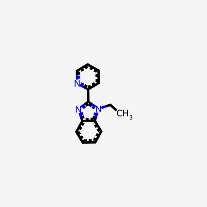 CCn1c(-c2ccccn2)nc2ccccc21